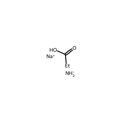 CCC(=O)O.[NH2-].[Na+]